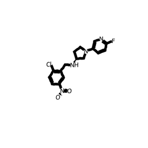 O=[N+]([O-])c1ccc(Cl)c(CN[C@H]2CCN(c3ccc(F)nc3)C2)c1